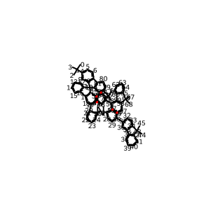 CC(C)(C)c1ccc2c(c1)C1(c3ccccc3-c3cc(-c4ccccc4N(c4ccc(-c5ccc6c(c5)-c5ccccc5C6(C)C)cc4)c4ccccc4-c4cccc5c4-c4ccccc4C5(C)C)ccc31)c1cc(C(C)(C)C)ccc1-2